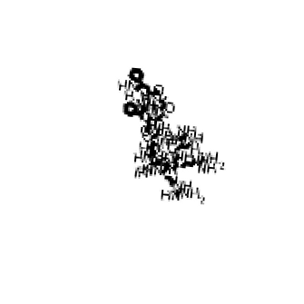 CC[C@H](C)[C@H](NC(=O)[C@H](Cc1c[nH]c2ccccc12)NC(=O)[C@H](C)NC(=O)[C@H](C)NC(=O)[C@@H](N)Cc1c[nH]c2ccccc12)C(=O)NCC(=O)N[C@@H](CC(C)C)C(=O)N[C@@H](CCCNC(=N)N)C(=O)N[C@@H](CCCNC(=N)N)C(=O)N[C@@H](CCCNC(=N)N)C(=O)O